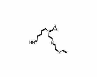 C=C\N=C/C=N/C=C/C(/C=C\C=C\C=N)=C1CC1